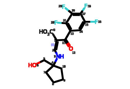 O=C(O)/C(=C/NC1(CO)CCCC1)C(=O)c1cc(F)c(F)c(F)c1F